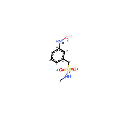 CNS(=O)(=O)Cc1cccc(NO)c1